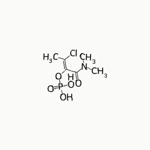 CC(Cl)=C(OP(=O)(O)O)C(=O)N(C)C